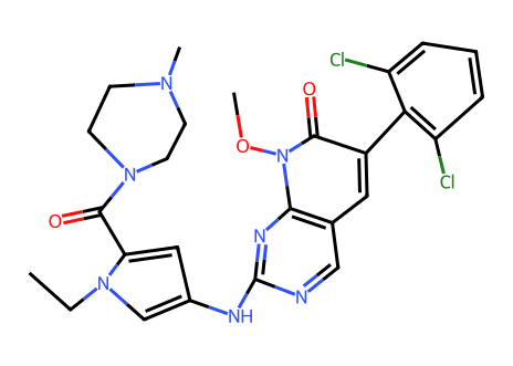 CCn1cc(Nc2ncc3cc(-c4c(Cl)cccc4Cl)c(=O)n(OC)c3n2)cc1C(=O)N1CCN(C)CC1